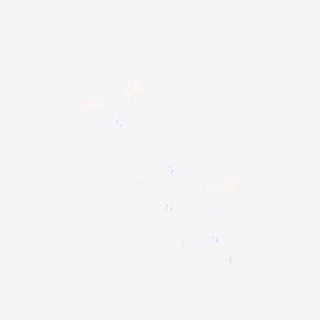 CN(C)/C=C(\C#N)C(=O)c1cc2cc(F)c(NS(=O)(=O)C3CC3)cc2n1SI